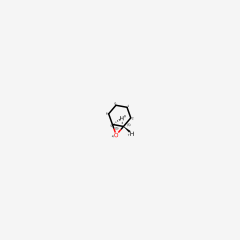 C1CC[C@@H]2O[C@H]2C1